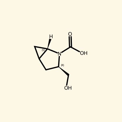 O=C(O)N1[C@@H](CO)CC2C[C@@H]21